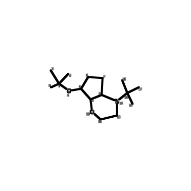 CC(C)(C)OC1CCC2C1OCCN2C(C)(C)C